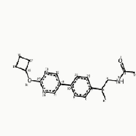 CC(=O)NCC(C)c1ccc(-c2cnc(OC3CCC3)nc2)cc1